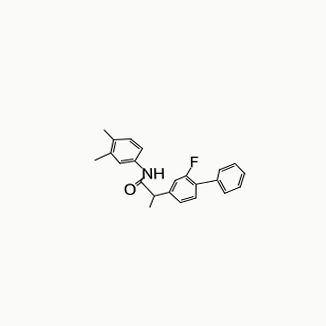 Cc1ccc(NC(=O)C(C)c2ccc(-c3ccccc3)c(F)c2)cc1C